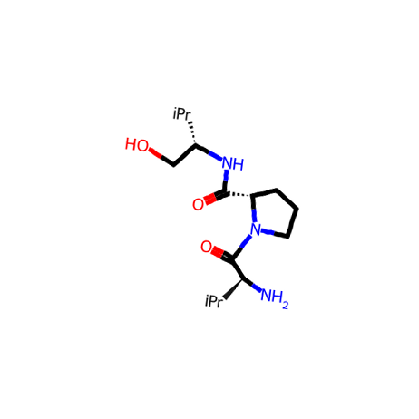 CC(C)[C@H](N)C(=O)N1CCC[C@H]1C(=O)N[C@H](CO)C(C)C